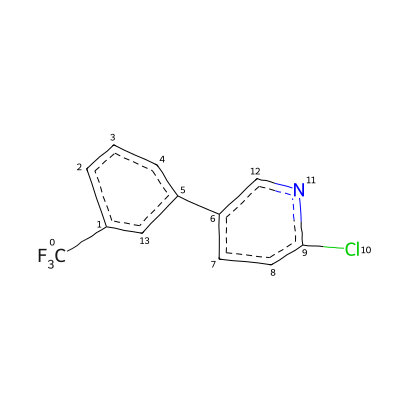 FC(F)(F)c1cccc(-c2ccc(Cl)nc2)c1